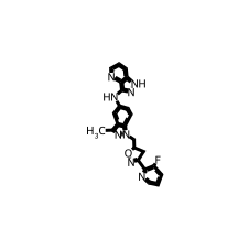 Cc1nn(CC2CC(c3ncccc3F)=NO2)c2ccc(Nc3n[nH]c4cccnc34)cc12